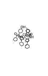 C[C@H]1CC[C@H](C(=O)N(c2cc([C@H]3CC[C@H](C)CC3)sc2C(=O)O)[C@H]2CC[C@H](O)CC2)CC1.Cc1ccc(S(=O)(=O)Nc2cc(C3=CCCCC3)sc2C(=O)O)c(C)c1